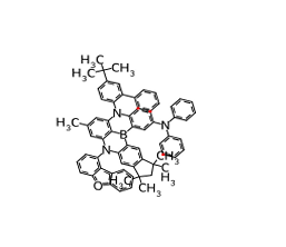 Cc1cc2c3c(c1)N(c1cccc4oc5ccccc5c14)c1cc4c(cc1B3c1cc(N(c3ccccc3)c3ccccc3)ccc1N2c1ccc(C(C)(C)C)cc1-c1ccccc1)C(C)(C)CC4(C)C